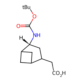 CC(C)(C)OC(=O)N[C@@H]1CC(CC(=O)O)C2CC1C2